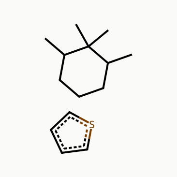 CC1CCCC(C)C1(C)C.c1ccsc1